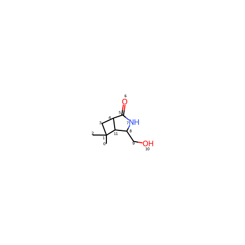 CC1(C)CC2C(=O)NC(CO)C21